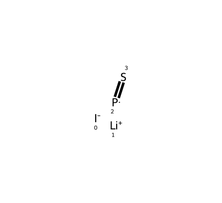 [I-].[Li+].[P]=S